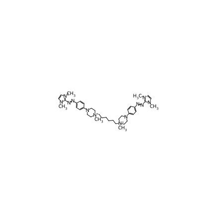 Cn1cc[n+](C)c1/N=N/c1ccc(N2CC[N+](C)(CCCCCC[N+]3(C)CCN(c4ccc(/N=N/c5n(C)cc[n+]5C)cc4)CC3)CC2)cc1